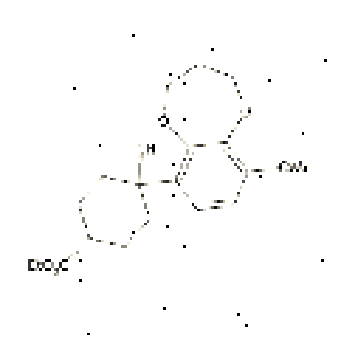 CCOC(=O)[C@H]1CC[C@](C#N)(c2ccc(OC)c3c2OCCCO3)CC1